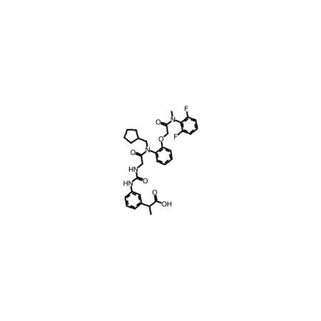 CC(C(=O)O)c1cccc(NC(=O)NCC(=O)N(CC2CCCC2)c2ccccc2OCC(=O)N(C)c2c(F)cccc2F)c1